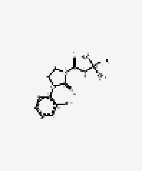 CC(C)(C)NC(=O)N1CCN(c2ccccc2F)C1=O